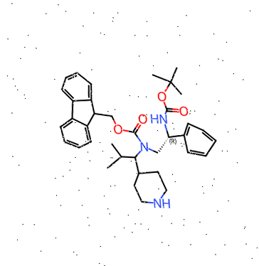 CC(C)C(C1CCNCC1)N(C[C@H](NC(=O)OC(C)(C)C)c1ccccc1)C(=O)OCC1c2ccccc2-c2ccccc21